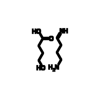 N=CCCCN.O=C(O)CCCO